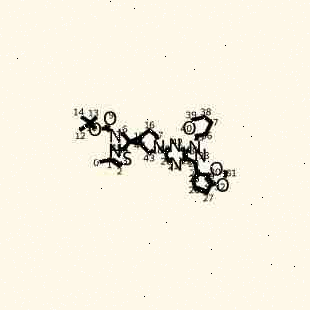 Cc1csc(C2(CNC(=O)OC(C)(C)C)C3CCN(c4cnc5c(-c6cccc7c6OCO7)nn(C6CCCCO6)c5n4)CC32)n1